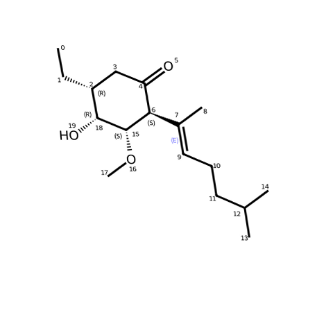 CC[C@@H]1CC(=O)[C@@H](/C(C)=C/CCC(C)C)[C@H](OC)[C@@H]1O